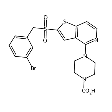 O=C(O)N1CCN(c2nccc3sc(S(=O)(=O)Cc4cccc(Br)c4)cc23)CC1